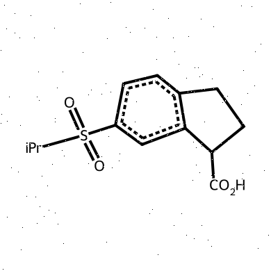 CC(C)S(=O)(=O)c1ccc2c(c1)C(C(=O)O)CC2